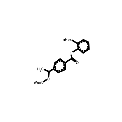 CCCCCCc1ccccc1OC(=O)c1ccc(C(C)OCCCCC)cc1